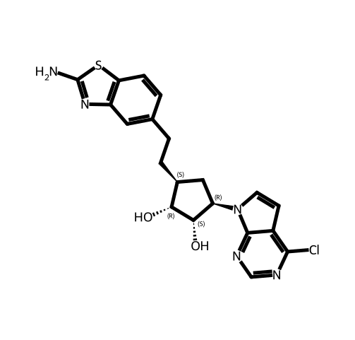 Nc1nc2cc(CC[C@H]3C[C@@H](n4ccc5c(Cl)ncnc54)[C@H](O)[C@@H]3O)ccc2s1